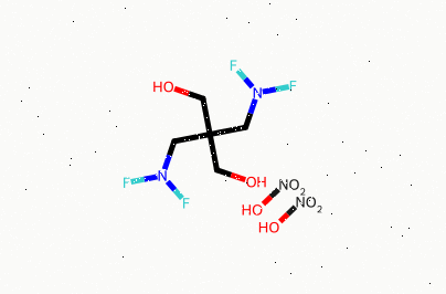 O=[N+]([O-])O.O=[N+]([O-])O.OCC(CO)(CN(F)F)CN(F)F